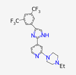 CCN1CCN(c2cc(-c3nc(-c4cc(C(F)(F)F)cc(C(F)(F)F)c4)c[nH]3)ccn2)CC1